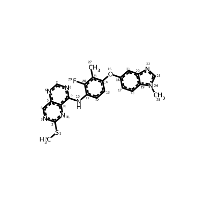 CSc1ncc2ncnc(Nc3ccc(Oc4ccc5c(c4)ncn5C)c(C)c3F)c2n1